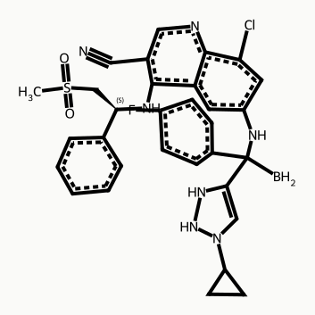 BC(Nc1cc(Cl)c2ncc(C#N)c(N[C@H](CS(C)(=O)=O)c3ccccc3)c2c1)(C1=CN(C2CC2)NN1)c1ccc(F)cc1